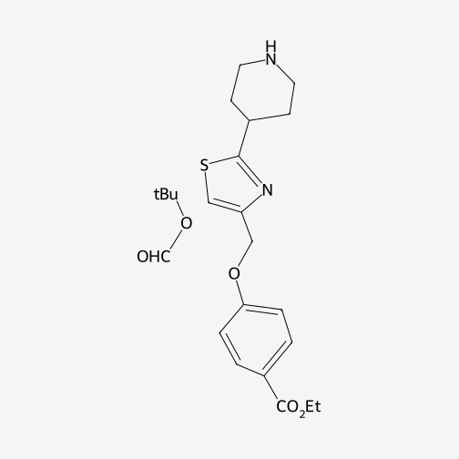 CC(C)(C)OC=O.CCOC(=O)c1ccc(OCc2csc(C3CCNCC3)n2)cc1